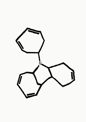 C1=CCC(N2C3C=CC=CC3C3CC=CCC32)C=C1